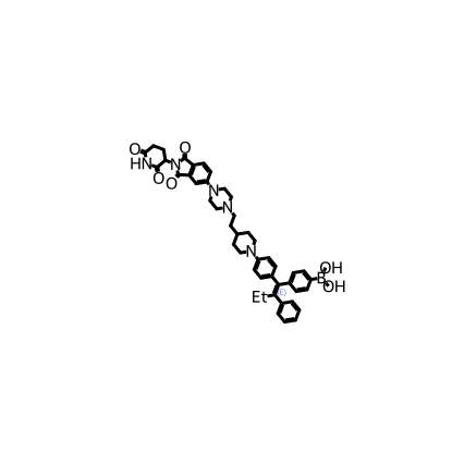 CC/C(=C(/c1ccc(B(O)O)cc1)c1ccc(N2CCC(CCN3CCN(c4ccc5c(c4)C(=O)N(C4CCC(=O)NC4=O)C5=O)CC3)CC2)cc1)c1ccccc1